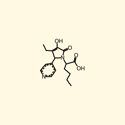 CCCCC(C(=O)O)N1C(=O)C(O)=C(CC)C1c1ccncc1